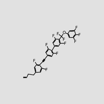 C=CCCc1cc(F)c(C#Cc2cc(F)c(-c3cc(F)c(C(F)(F)Oc4cc(F)c(F)c(F)c4)c(F)c3)c(F)c2)c(F)c1